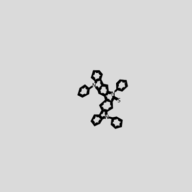 S=c1c2cc3c(cc2c2cc4c(cc2n1-c1ccccc1)c1ccccc1n4-c1ccccc1)c1ccccc1n3-c1ccccc1